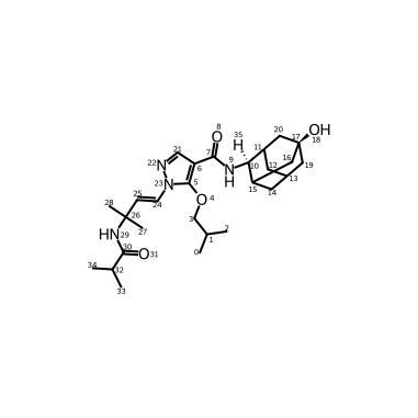 CC(C)COc1c(C(=O)N[C@H]2C3CC4CC2C[C@@](O)(C4)C3)cnn1/C=C/C(C)(C)NC(=O)C(C)C